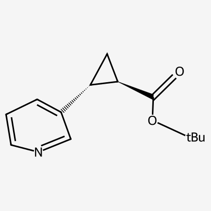 CC(C)(C)OC(=O)[C@@H]1C[C@H]1c1cccnc1